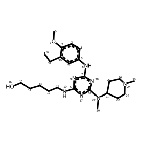 COc1ccc(Nc2nc(NCCCCCO)nc(N(C)C3CCN(C)CC3)n2)cc1CI